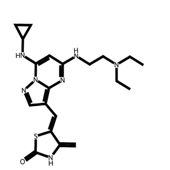 C=c1[nH]c(=O)s/c1=C\c1cnn2c(NC3CC3)cc(NCCN(CC)CC)nc12